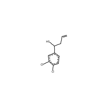 C=CCC(S)c1ccc(Cl)c(Cl)c1